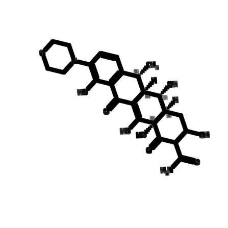 C[C@H]1c2ccc(N3CCOCC3)c(O)c2C(=O)C2=C(O)[C@]3(O)C(=O)C(C(N)=O)C(O)C[C@@H]3[C@@H](O)[C@@H]21